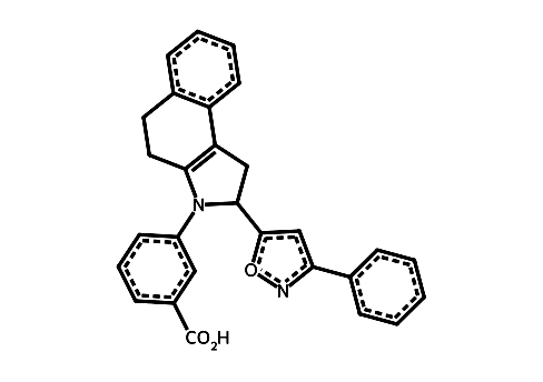 O=C(O)c1cccc(N2C3=C(CC2c2cc(-c4ccccc4)no2)c2ccccc2CC3)c1